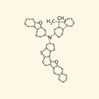 CC1(C)c2ccccc2-c2ccc(N(c3ccc4c(c3)oc3ccccc34)c3ccc4c(c3)sc3ccc5c6cc7ccccc7cc6oc5c34)cc21